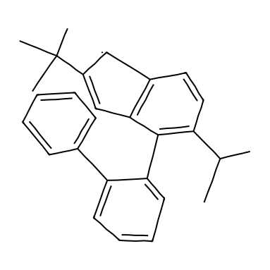 CC(C)c1ccc2c(c1-c1ccccc1-c1ccccc1)C=C(C(C)(C)C)[CH]2